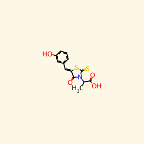 CC(C(=O)O)N1C(=O)/C(=C/c2cccc(O)c2)SC1=S